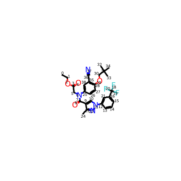 CCOC(=O)CN(C(=O)c1cn(-c2cccc(C(F)(F)F)c2)nc1C)c1ccc(OCC(C)(C)C)c(C#N)c1